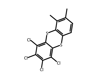 Cc1ccc2c(c1C)Sc1c(Cl)c(Cl)c(Cl)c(Cl)c1S2